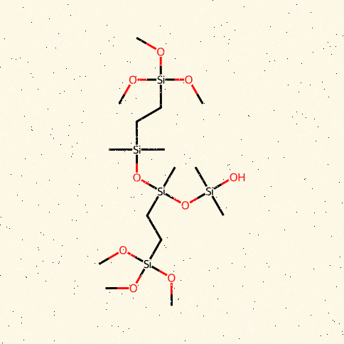 CO[Si](CC[Si](C)(C)O[Si](C)(CC[Si](OC)(OC)OC)O[Si](C)(C)O)(OC)OC